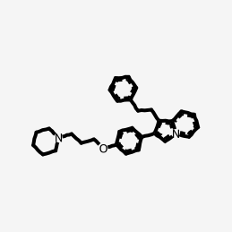 c1ccc(CCc2c(-c3ccc(OCCCN4CCCCC4)cc3)cn3ccccc23)cc1